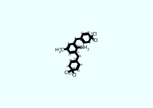 Cc1cc(CC2=CCC(Cl)(Cl)C=C2)c(N)c(CC2=CCC(Cl)(Cl)C=C2)c1